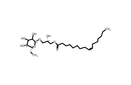 CCCCCC/C=C\CCCCCCCC(=O)OC[C@@H](O)CO[C@H]1O[C@H](CC)[C@@H](O)C(O)C1O